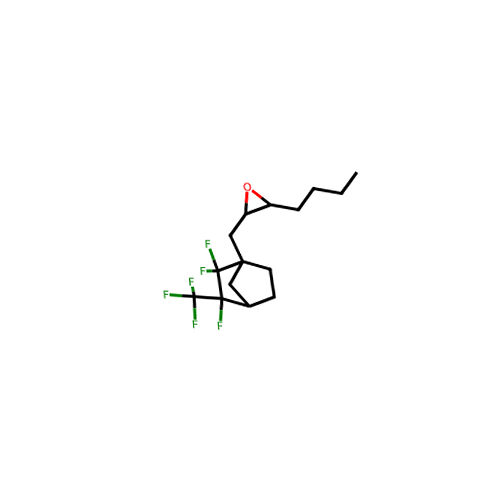 CCCCC1OC1CC12CCC(C1)C(F)(C(F)(F)F)C2(F)F